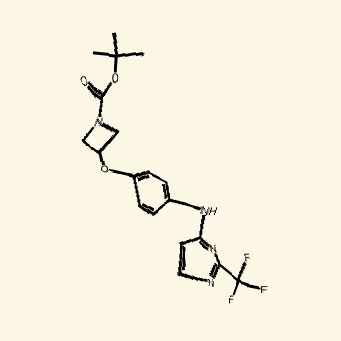 CC(C)(C)OC(=O)N1CC(Oc2ccc(Nc3ccnc(C(F)(F)F)n3)cc2)C1